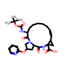 CC(C)(C)OC(=O)NC1CCCCC/C=C\C2CC2(C(=O)O)NC(=O)C2CC(Oc3ccccn3)CN2C1=O